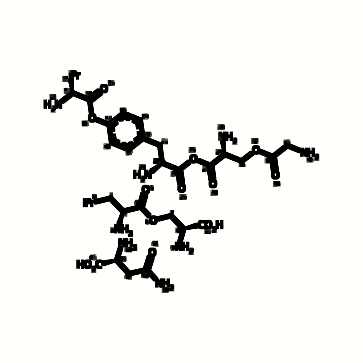 CC(C)C[C@H](N)C(=O)OC[C@H](N)C(=O)O.CC(C)[C@H](N)C(=O)Oc1ccc(C[C@H](N)C(=O)OC(=O)[C@@H](N)COC(=O)CN)cc1.NC(=O)C[C@H](N)C(=O)O